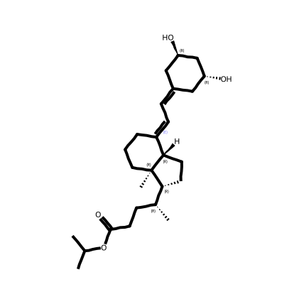 CC(C)OC(=O)CC[C@@H](C)[C@H]1CC[C@H]2/C(=C/C=C3C[C@@H](O)C[C@H](O)C3)CCC[C@]12C